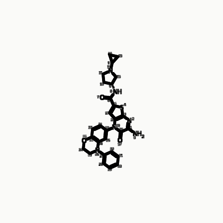 Nc1nc2sc(C(=O)N[C@@H]3CCN(C4CC4)C3)cc2n(-c2ccc3c(c2)N(c2ccccc2)CCO3)c1=O